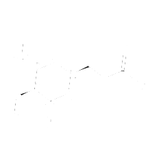 CCO[C@H]1[C@H](NO)[C@H](O)[C@@H](COC(=O)C(C)(C)C)O[C@@H]1O